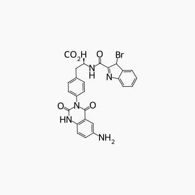 Nc1ccc2[nH]c(=O)n(-c3ccc(C[C@H](NC(=O)C4=Nc5ccccc5C4Br)C(=O)O)cc3)c(=O)c2c1